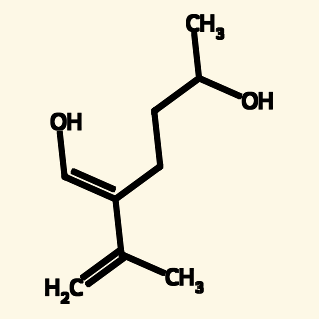 C=C(C)C(=CO)CCC(C)O